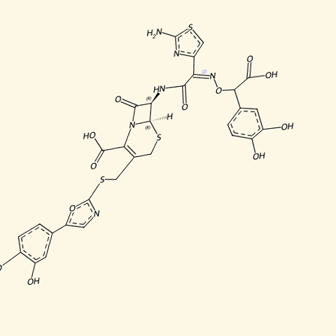 Nc1nc(/C(=N/OC(C(=O)O)c2ccc(O)c(O)c2)C(=O)N[C@@H]2C(=O)N3C(C(=O)O)=C(CSc4ncc(-c5ccc(O)c(O)c5)o4)CS[C@H]23)cs1